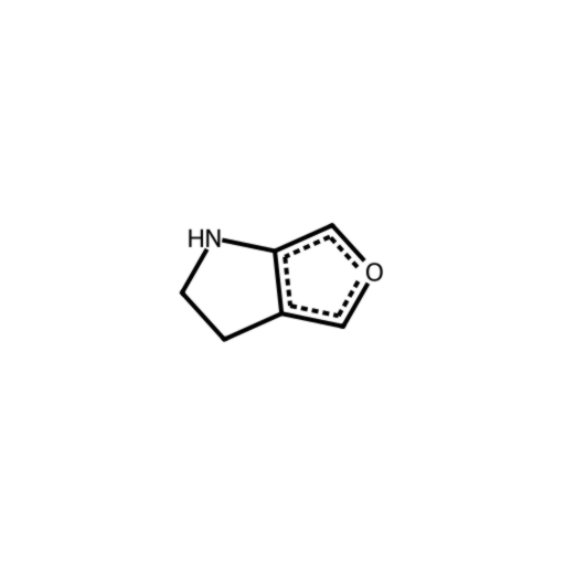 c1occ2c1CCN2